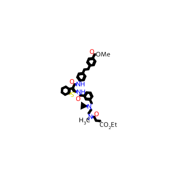 CCOC(=O)CCC(=O)N(C)CCN(Cc1cccc(C(=O)Nc2sc3c(c2C(=O)Nc2ccc(CCc4ccc(C(=O)OC)cc4)cc2)CCCC3)c1)C1CC1